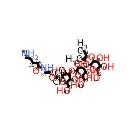 CCC(CC)OC1C(O)[C@H](O)C(CO)O[C@@H]1OC1C(O)[C@@H](OC2C(O)[C@@H](C(C)(C)OCCNC(=O)CCCCN)OC(CO)[C@H]2O)OC(CO)[C@H]1O